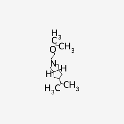 CC(C)OCCN1C[C@H]2C[C@H](C(C)C)C[C@H]2C1